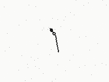 CCCCCCCCCCCCCCCC1CCC(c2ccc(N)cc2)CC1